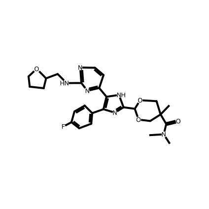 CN(C)C(=O)C1(C)COC(c2nc(-c3ccc(F)cc3)c(-c3ccnc(NCC4CCCO4)n3)[nH]2)OC1